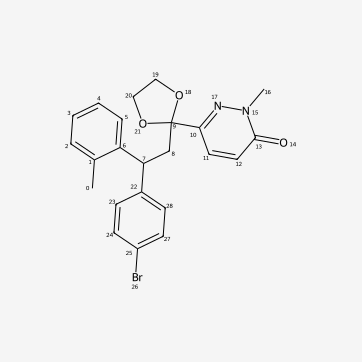 Cc1ccccc1C(CC1(c2ccc(=O)n(C)n2)OCCO1)c1ccc(Br)cc1